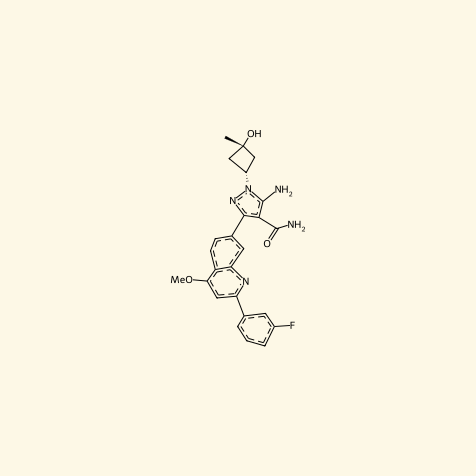 COc1cc(-c2cccc(F)c2)nc2cc(-c3nn([C@H]4C[C@@](C)(O)C4)c(N)c3C(N)=O)ccc12